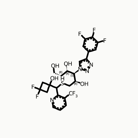 OC[C@@H]1[C@H](O)[C@@H](n2cc(-c3cc(F)c(F)c(F)c3)nn2)[C@@H](O)C[SH]1C(c1ncccc1C(F)(F)F)C1(O)CC(F)(F)C1